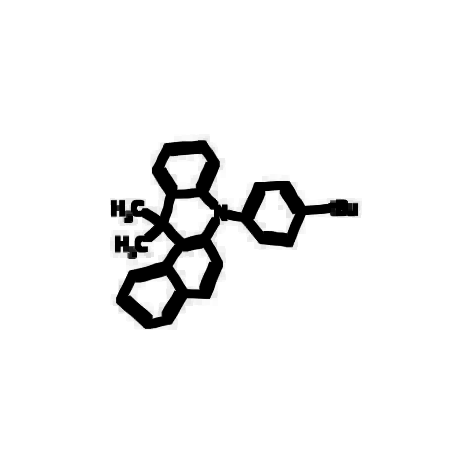 CC(C)(C)c1ccc(N2c3ccccc3C(C)(C)c3c2ccc2ccccc32)cc1